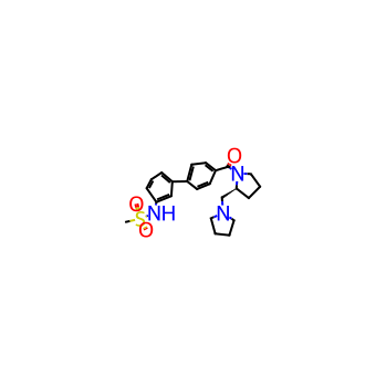 CS(=O)(=O)Nc1cccc(-c2ccc(C(=O)N3CCC[C@H]3CN3CCCC3)cc2)c1